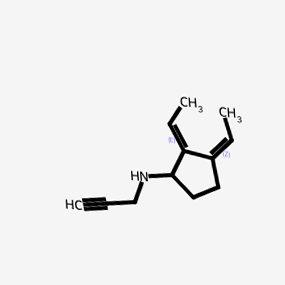 C#CCNC1CCC(=C/C)/C1=C\C